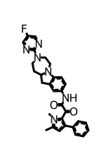 Cc1cc(-c2ccccc2)c(C(=O)C(=O)Nc2ccc3c(c2)CC2CCN(c4ncc(F)cn4)CCN32)n1C